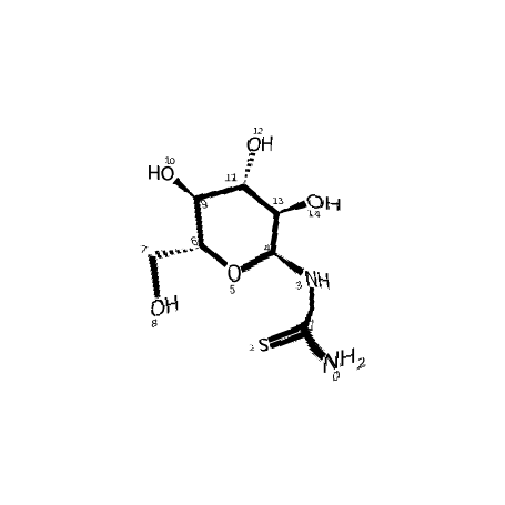 NC(=S)N[C@H]1O[C@H](CO)[C@@H](O)[C@H](O)[C@H]1O